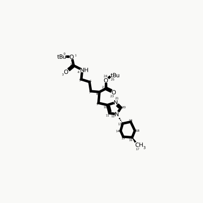 CC(C)(C)OC(=O)NCCCC(Cc1cn([C@H]2CC[C@H](C)CC2)cn1)C(=O)OC(C)(C)C